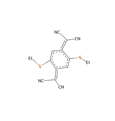 CCSc1cc(=C(C#N)C#N)c(SCC)cc1=C(C#N)C#N